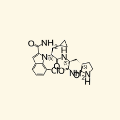 NC(=O)c1cc2cccc(Cl)c2n1[C@@H](CC1CC1)C(=O)N[C@@H](C[C@@H]1CCNC1=O)C(N)=O